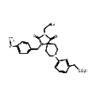 CCC(C)CN1C(=O)N(Cc2ccc(OC(F)(F)F)cc2)C2(CCN(c3cccc(CC(=O)O)c3)CC2)C1=O